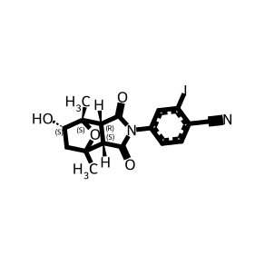 CC12C[C@H](O)[C@@](C)(O1)[C@@H]1C(=O)N(c3ccc(C#N)c(I)c3)C(=O)[C@@H]12